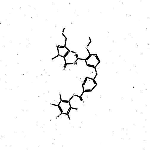 CCCc1nn(C)c2c(=O)[nH]c(-c3cc(Cc4ccc(C(=O)Oc5c(F)c(F)c(F)c(F)c5F)cc4)ccc3OCC)nc12